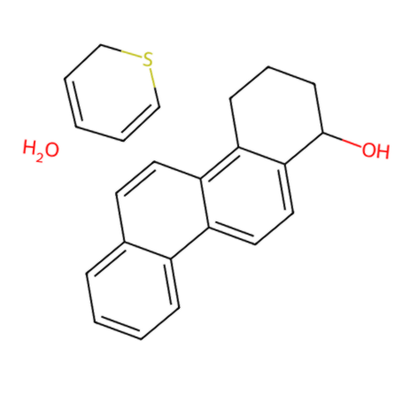 C1=CCSC=C1.O.OC1CCCc2c1ccc1c2ccc2ccccc21